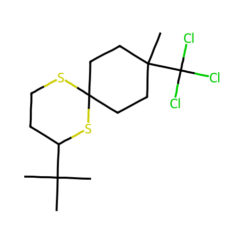 CC(C)(C)C1CCSC2(CCC(C)(C(Cl)(Cl)Cl)CC2)S1